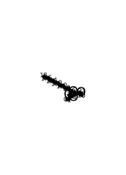 C=CC(=O)OC(OCCCCCCCCCCCC)C1CO1